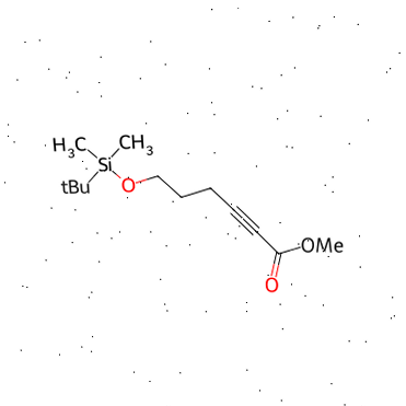 COC(=O)C#CCCCO[Si](C)(C)C(C)(C)C